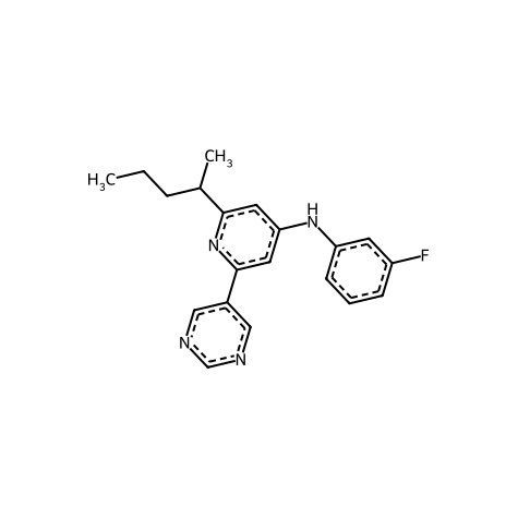 CCCC(C)c1cc(Nc2cccc(F)c2)cc(-c2cncnc2)n1